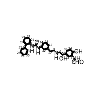 O=CNc1cc([C@H](O)CNCCc2cccc(NC(=O)Nc3ccccc3-c3ccccc3)c2)ccc1O